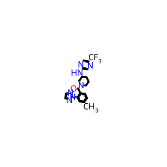 Cc1ccc(C(=O)N2CCCC(Nc3cnc(C(F)(F)F)cn3)C2)c(-n2nccn2)c1